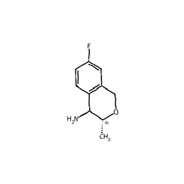 C[C@H]1OCc2cc(F)ccc2C1N